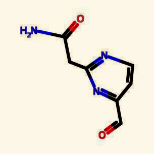 NC(=O)Cc1nccc(C=O)n1